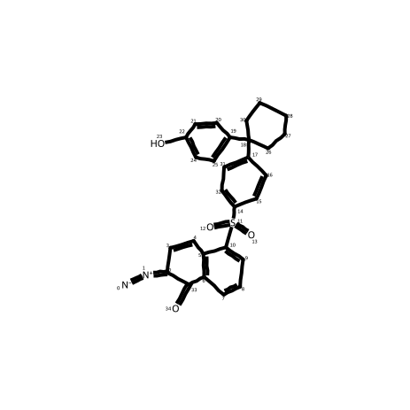 [N-]=[N+]=C1C=Cc2c(cccc2S(=O)(=O)c2ccc(C3(c4ccc(O)cc4)CCCCC3)cc2)C1=O